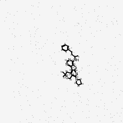 CC(CCc1ccccc1)Nc1ncnc2c1sc1nc(N3CCCC3)c3c(c12)CC(C)(C)OC3